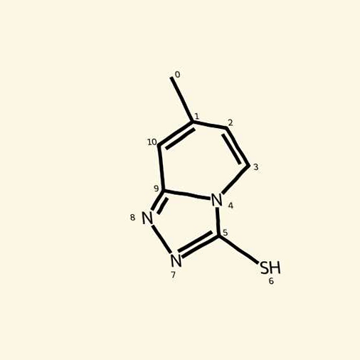 Cc1ccn2c(S)nnc2c1